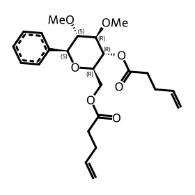 C=CCCC(=O)OC[C@H]1O[C@@H](c2ccccc2)[C@H](OC)[C@@H](OC)[C@@H]1OC(=O)CCC=C